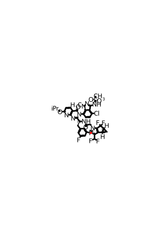 CC(C)Oc1ccc2c(=O)n(-c3ccc(Cl)c4c(NS(C)(=O)=O)nn(C)c34)c([C@H](Cc3cc(F)cc(F)c3)NC(=O)Cn3nc(C(F)F)c4c3C(F)(F)[C@@H]3C[C@H]43)nc2n1